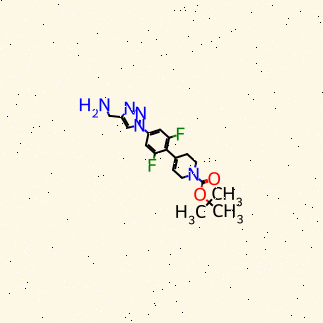 CC(C)(C)OC(=O)N1CC=C(c2c(F)cc(-n3cc(CN)nn3)cc2F)CC1